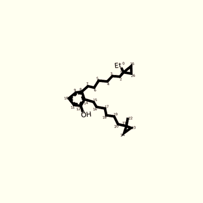 CCC1(CCCCCCc2cccc(O)c2CCCCCCC2(C)CC2)CC1